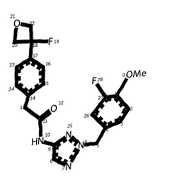 COc1ccc(Cn2ncc(NC(=O)Cc3ccc(C4(F)COC4)cc3)n2)cc1F